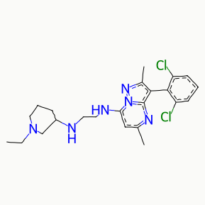 CCN1CCCC(NCCNc2cc(C)nc3c(-c4c(Cl)cccc4Cl)c(C)nn23)C1